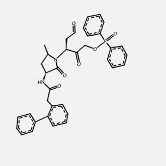 CC1C[C@H](NC(=O)Cc2ccccc2-c2ccccc2)C(=O)N1[C@@H](CC=O)C(=O)COP(=O)(c1ccccc1)c1ccccc1